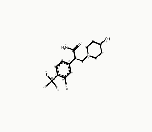 NC(=O)[C@@H](CN1CCC(O)CC1)c1ccc(C(F)(F)F)c(F)c1